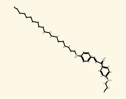 CCCCCCCCCCCCCCCCCCCCOc1ccc(/C=C/C(=O)c2ccc(SCCC)cc2)cc1